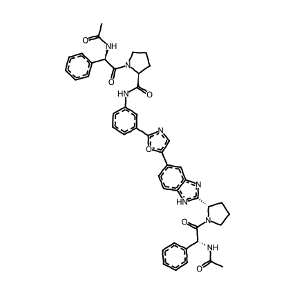 CC(=O)N[C@@H](C(=O)N1CCC[C@H]1C(=O)Nc1cccc(-c2ncc(-c3ccc4[nH]c([C@@H]5CCCN5C(=O)[C@H](NC(C)=O)c5ccccc5)nc4c3)o2)c1)c1ccccc1